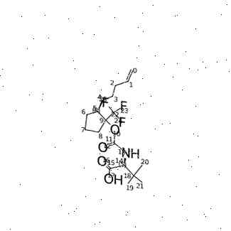 C=CCCC[C@@H]1CCCC1(OC(=O)N[C@H](C(=O)O)C(C)(C)C)C(F)(F)F